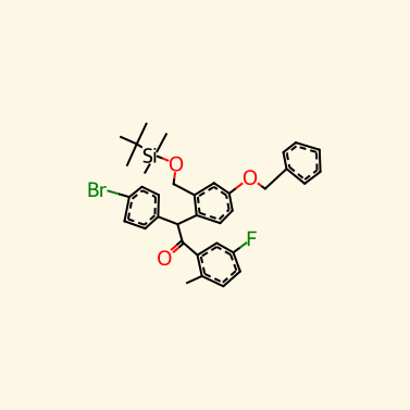 Cc1ccc(F)cc1C(=O)C(c1ccc(Br)cc1)c1ccc(OCc2ccccc2)cc1CO[Si](C)(C)C(C)(C)C